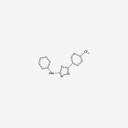 FC(F)(F)c1ccc(-c2nnc(Nc3ccccc3)s2)cc1